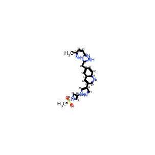 CC1=NN2C(=NNC2CC2=CC3C=C(c4cnn(C5CN(S(C)(=O)=O)C5)c4)C=NC3C=C2)C=C1